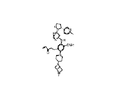 C=CC(=O)CCc1cc(Nc2cc(N3OCC[C@@H]3c3ccc(C)nc3)ncn2)c(OC)cc1N1CCC(N2CC3C2CN3C)CC1